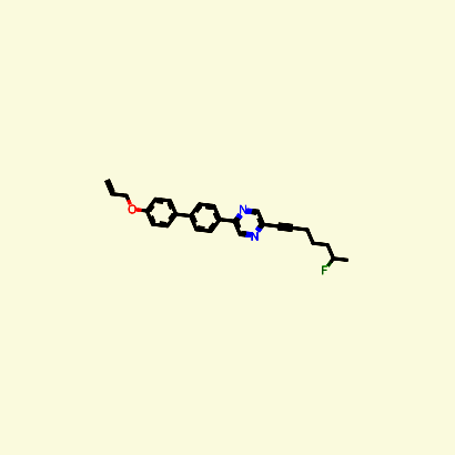 C=CCOc1ccc(-c2ccc(-c3cnc(C#CCCCC(C)F)cn3)cc2)cc1